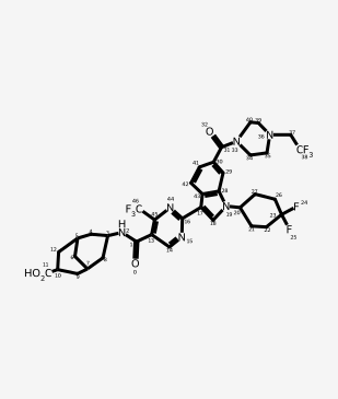 O=C(NC1CC2CC(C1)CC(C(=O)O)C2)c1cnc(-c2cn(C3CCC(F)(F)CC3)c3cc(C(=O)N4CCN(CC(F)(F)F)CC4)ccc23)nc1C(F)(F)F